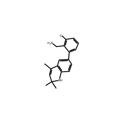 CC1=CC(C)(C)Nc2ccc(-c3cccc(Cl)c3CN)cc21